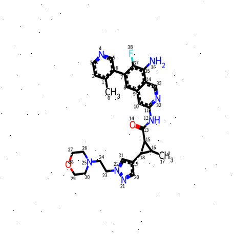 Cc1ccncc1-c1cc2cc(NC(=O)C3C(C)C3c3cnn(CCN4CCOCC4)c3)ncc2c(N)c1F